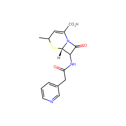 CC1C=C(C(=O)O)N2C(=O)C(NC(=O)Cc3cccnc3)[C@@H]2S1